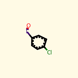 O=Ic1ccc(Cl)cc1